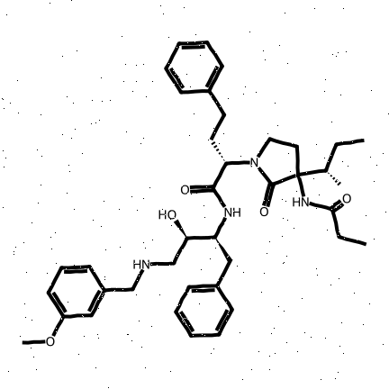 CCC(=O)NC1([C@@H](C)CC)CCN([C@@H](CCc2ccccc2)C(=O)N[C@@H](Cc2ccccc2)[C@H](O)CNCc2cccc(OC)c2)C1=O